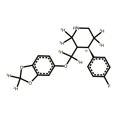 [2H]C1([2H])Oc2ccc(OC([2H])([2H])C3[C@H](c4ccc(F)cc4)C([2H])([2H])CNC3([2H])[2H])cc2O1